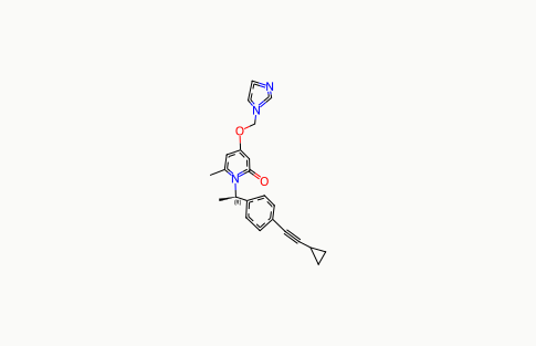 Cc1cc(OCn2ccnc2)cc(=O)n1[C@H](C)c1ccc(C#CC2CC2)cc1